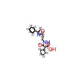 O=C(O)[C](C(=O)NCCc1nc(-c2ccccc2)co1)C1CCCC1